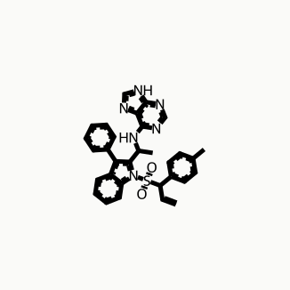 C=CC(c1ccc(C)cc1)S(=O)(=O)n1c(C(C)Nc2ncnc3[nH]cnc23)c(-c2ccccc2)c2ccccc21